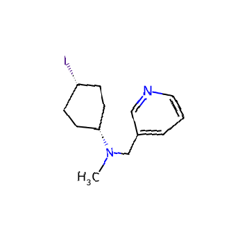 CN(Cc1cccnc1)[C@H]1CC[C@@H](I)CC1